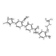 Cc1nc(-c2ccc(-c3ccc(C(=O)Nc4ccc(Br)c(OCCN(C)C)c4)cn3)c(C#N)c2)no1